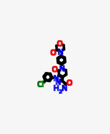 NC(=O)c1nn(-c2cccc(Cl)c2)c2c1CCN(c1ccc(N3CCOCC3=O)cc1)C2=O